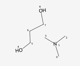 CN(C)C.OCCCO